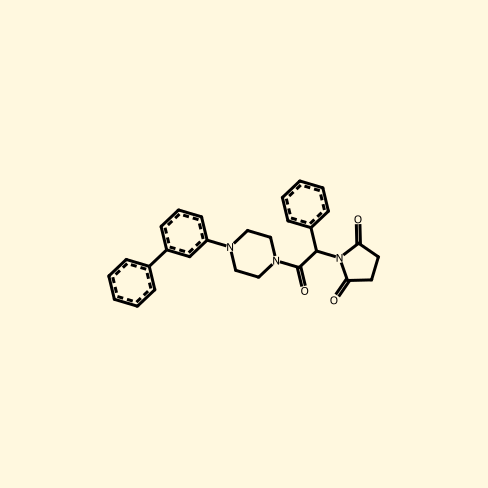 O=C(C(c1ccccc1)N1C(=O)CCC1=O)N1CCN(c2cccc(-c3ccccc3)c2)CC1